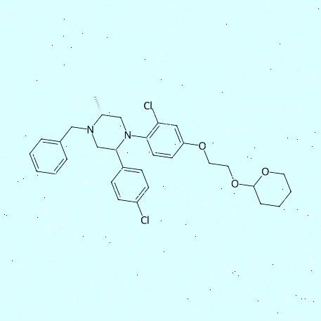 C[C@@H]1CN(c2ccc(OCCOC3CCCCO3)cc2Cl)C(c2ccc(Cl)cc2)CN1Cc1ccccc1